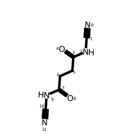 N#CNC(=O)CCC(=O)NC#N